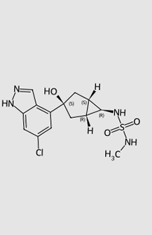 CNS(=O)(=O)N[C@H]1[C@@H]2C[C@](O)(c3cc(Cl)cc4[nH]ncc34)C[C@@H]21